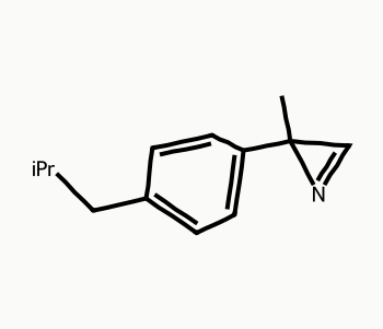 CC(C)Cc1ccc(C2(C)C=N2)cc1